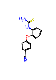 N#Cc1ccc(Oc2ccccc2NC(N)=S)cc1